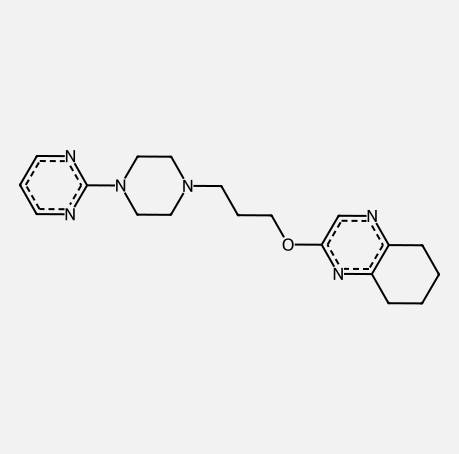 c1cnc(N2CCN(CCCOc3cnc4c(n3)CCCC4)CC2)nc1